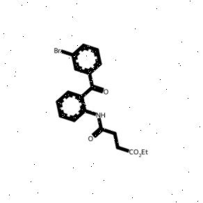 CCOC(=O)CCC(=O)Nc1ccccc1C(=O)c1cccc(Br)c1